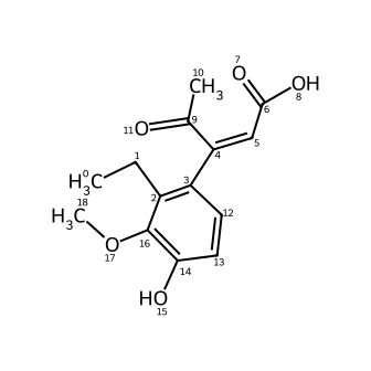 CCc1c(C(=CC(=O)O)C(C)=O)ccc(O)c1OC